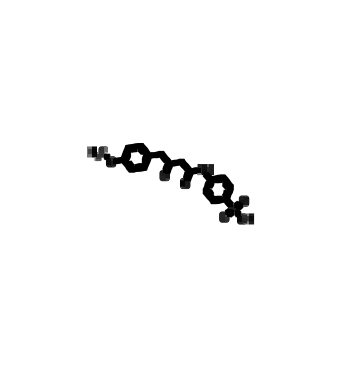 COc1ccc(CC(=O)CC(=O)Nc2ccc(S(=O)(=O)O)cc2)cc1